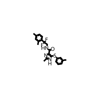 Cc1cccc(Sc2[nH]c(C)nc2C(=O)NCC(F)(F)c2ccc(C)cc2C)c1